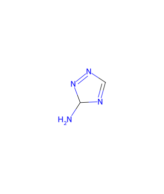 NC1N=CN=N1